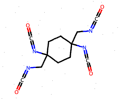 O=C=NCC1(N=C=O)CCC(CN=C=O)(N=C=O)CC1